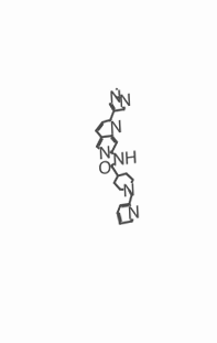 Cn1cc(-c2ccc3cnc(NC(=O)C4CCN(Cc5ccccn5)CC4)cc3n2)cn1